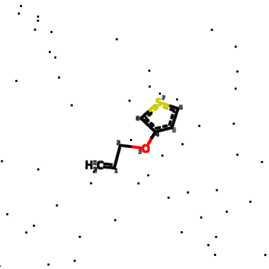 C=CCOc1ccsc1